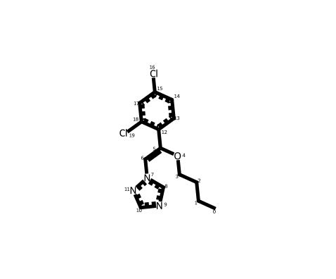 CCCCOC(=Cn1cncn1)c1ccc(Cl)cc1Cl